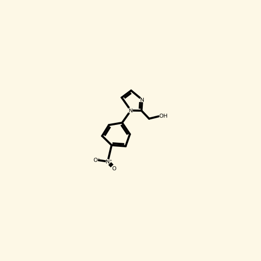 O=[N+]([O-])c1ccc(-n2ccnc2CO)cc1